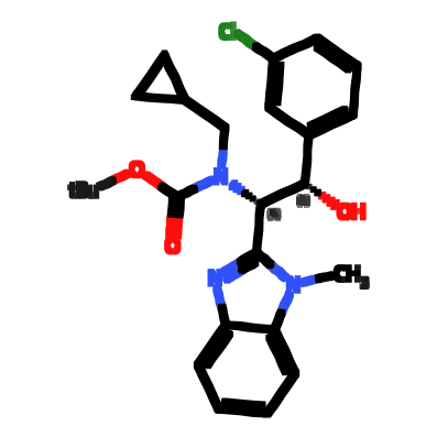 Cn1c([C@@H]([C@@H](O)c2cccc(Cl)c2)N(CC2CC2)C(=O)OC(C)(C)C)nc2ccccc21